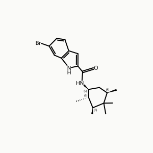 C[C@@H]1[C@@H](NC(=O)c2cc3ccc(Br)cc3[nH]2)C[C@@H](C)C(C)(C)[C@H]1C